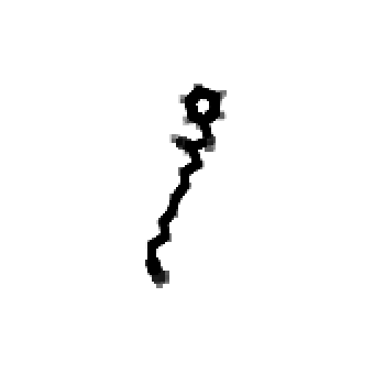 C#CCCCCCCCCC(=O)Oc1ccccc1